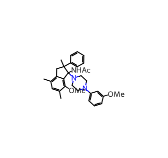 COc1cccc(N2CCN(C3(NC(C)=O)c4c(c(C)cc(C)c4OC)CC3(C)c3ccccc3)CC2)c1